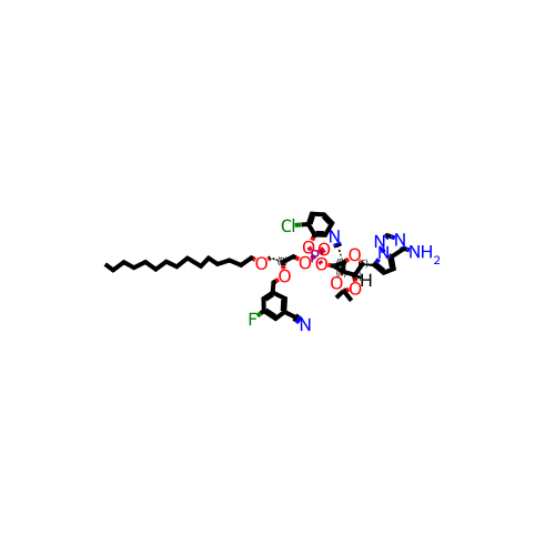 CCCCCCCCCCCCCCCOC[C@H](COP(=O)(Oc1ccccc1Cl)OC1[C@@]2(C#N)O[C@@H](c3ccc4c(N)ncnn34)[C@@H]3OC(C)(C)O[C@@]132)OCc1cc(F)cc(C#N)c1